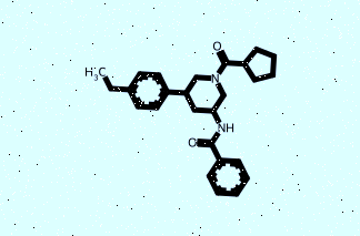 CCc1ccc(C2CC(NC(=O)c3ccccc3)CN(C(=O)C3CCCC3)C2)cc1